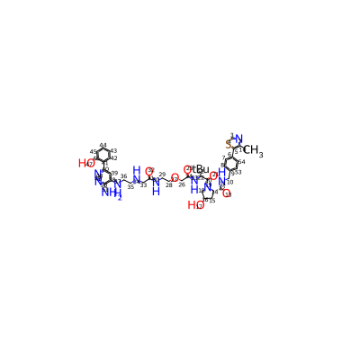 Cc1ncsc1-c1ccc(CNC(=O)[C@@H]2C[C@@H](O)CN2C(=O)[C@@H](NC(=O)COCCNC(=O)CNCCNc2cc(-c3ccccc3O)nnc2N)C(C)(C)C)cc1